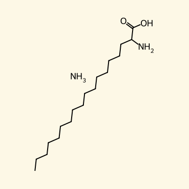 CCCCCCCCCCCCCCCCC(N)C(=O)O.N